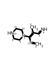 C=N/C(=C(/C)C=N)N1CCNCC1